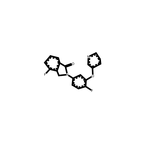 O=C1c2cccc(F)c2CN1c1ccc(F)c(Oc2cccnc2)c1